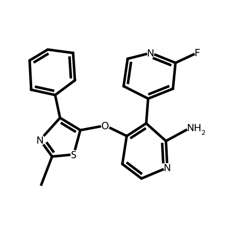 Cc1nc(-c2ccccc2)c(Oc2ccnc(N)c2-c2ccnc(F)c2)s1